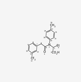 CCC(C(=O)O)N(C(=O)Cc1cccc(C(F)(F)F)c1)c1ccc(C)cc1